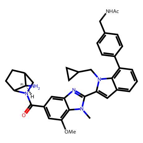 COc1cc(C(=O)N2CC3CCC2[C@@H]3N)cc2nc(-c3cc4cccc(-c5ccc(CNC(C)=O)cc5)c4n3CC3CC3)n(C)c12